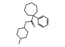 CN1CCC(OC(=O)C2(c3ccccc3)CCCCCC2)CC1